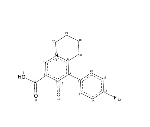 O=C(O)c1cn2c(c(-c3ccc(F)cc3)c1=O)CCCC2